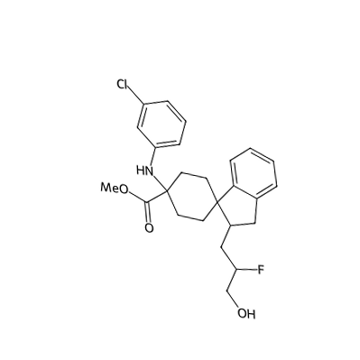 COC(=O)C1(Nc2cccc(Cl)c2)CCC2(CC1)c1ccccc1CC2CC(F)CO